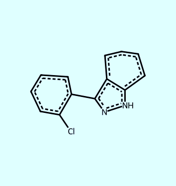 Clc1ccccc1-c1n[nH]c2ccccc12